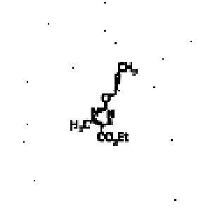 CC#CCOc1ncc(C(=O)OCC)c(C)n1